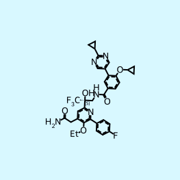 CCOc1c(CC(N)=O)cc([C@@](O)(CNC(=O)c2ccc(OC3CC3)c(-c3cnc(C4CC4)nc3)c2)C(F)(F)F)nc1-c1ccc(F)cc1